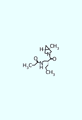 CCC[C@H](CNC(=O)CC)C(=O)N1C[C@H]2C[C@@]2(C)C1